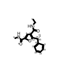 CCNC(=O)c1cc(C(=O)NC)oc1[C@H](C)c1ccccc1